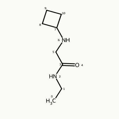 CCNC(=O)CNC1CCC1